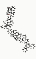 c1ccc(-c2cc(-c3cccc(-c4ccc5c(c4)C4(c6cc(-c7cccc(-c8cc(-c9nc(-c%10ccccc%10)cc(-c%10ccccc%10)n9)ccc8-c8ccccc8)c7)ccc6S5)c5ccccc5-c5ccccc54)c3)nc(-c3cccc(-c4cc(-c5ccc6c(c5)C5(c7ccccc7S6)c6ccccc6-c6ccccc65)ccc4-c4ccccc4)c3)n2)cc1